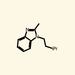 Cc1nc2ccccc2n1CCC(C)C